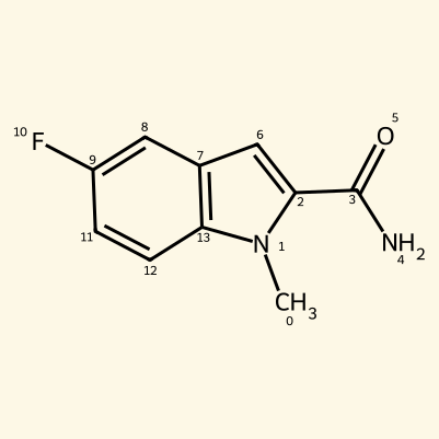 Cn1c(C(N)=O)cc2cc(F)ccc21